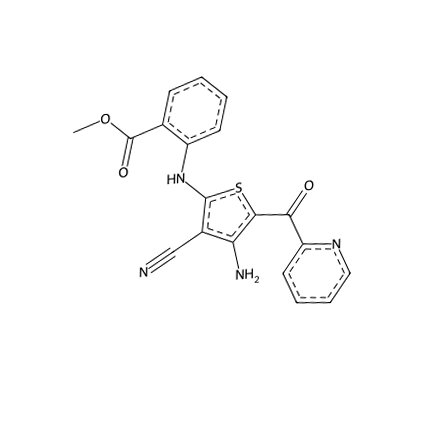 COC(=O)c1ccccc1Nc1sc(C(=O)c2ccccn2)c(N)c1C#N